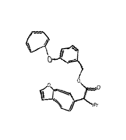 CC(C)C(C(=O)OCc1cccc(Oc2ccccc2)c1)c1ccc2ccoc2c1